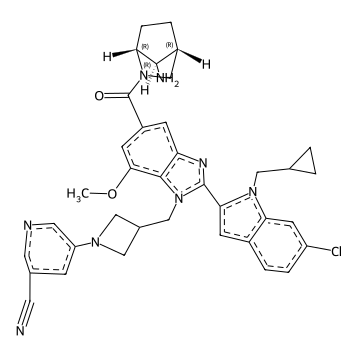 COc1cc(C(=O)N2C[C@H]3CC[C@@H]2[C@@H]3N)cc2nc(-c3cc4ccc(Cl)cc4n3CC3CC3)n(CC3CN(c4cncc(C#N)c4)C3)c12